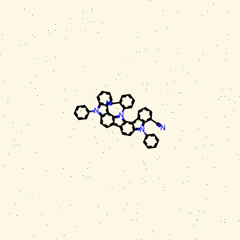 N#Cc1ccccc1-n1c2c(ccc3c2c2ccccc2n3-c2ccccc2)c2ccc3c(c4cccc(C#N)c4n3-c3ccccc3)c21